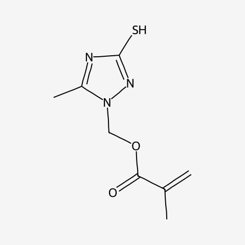 C=C(C)C(=O)OCn1nc(S)nc1C